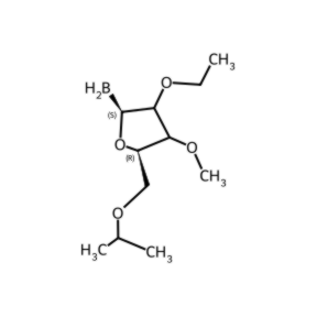 B[C@@H]1O[C@H](COC(C)C)C(OC)C1OCC